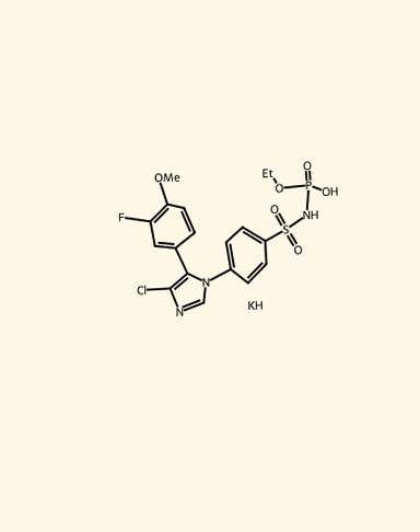 CCOP(=O)(O)NS(=O)(=O)c1ccc(-n2cnc(Cl)c2-c2ccc(OC)c(F)c2)cc1.[KH]